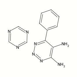 Nc1nnnc(-c2ccccc2)c1N.c1ncncn1